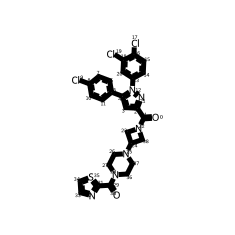 O=C(c1cc(-c2ccc(Cl)cc2)n(-c2ccc(Cl)c(Cl)c2)n1)N1CC(N2CCN(C(=O)c3nccs3)CC2)C1